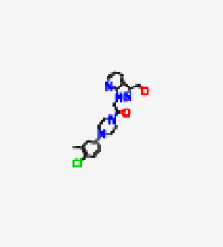 Cc1cc(N2CCN(C(=O)Cn3nc(C=O)c4cccnc43)CC2)ccc1Cl